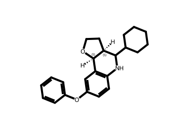 c1ccc(Oc2ccc3c(c2)[C@H]2OCC[C@H]2C(C2CCCCC2)N3)cc1